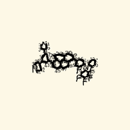 Fc1c(F)c(F)c(N(c2ccccc2)c2ccc(-c3ccc4ccc5c(-c6cc(-c7ccncc7)cc(-c7ccncc7)c6)ccc6ccc3c4c65)cc2)c(F)c1F